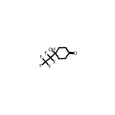 O=C1CCC(O)(C(F)(F)C(F)(F)F)CC1